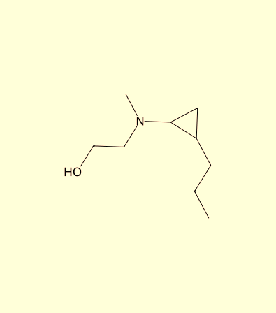 CCCC1CC1N(C)CCO